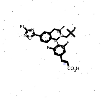 CCc1noc(-c2ccc3c(c2)C[C@@H](C)N(CC(C)(C)F)[C@@H]3c2c(F)cc(/C=C/C(=O)O)cc2F)n1